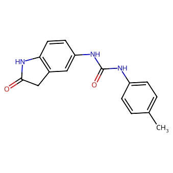 Cc1ccc(NC(=O)Nc2ccc3c(c2)CC(=O)N3)cc1